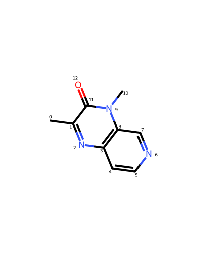 Cc1nc2ccncc2n(C)c1=O